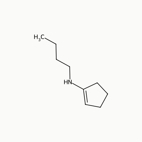 CCCCNC1=CCCC1